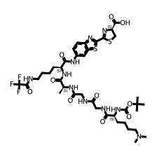 C[C@H](NC(=O)CNC(=O)CNC(=O)[C@H](CCCCN(C)C)NC(=O)OC(C)(C)C)C(=O)N[C@@H](CCCCNC(=O)C(F)(F)F)C(=O)Nc1ccc2nc(C3=N[C@@H](C(=O)O)CS3)sc2c1